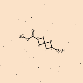 CC(C)(C)OC(=O)C1CC2(CC(C(=O)O)C2)C1